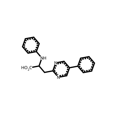 O=C(O)C(Cc1ncc(-c2ccccc2)cn1)Nc1ccccc1